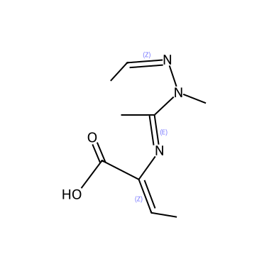 C/C=N\N(C)/C(C)=N/C(=C\C)C(=O)O